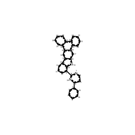 c1ccc(-c2ccnc(-c3cccc4c3sc3cc5c6ccccc6c6ccccc6c5cc34)n2)cc1